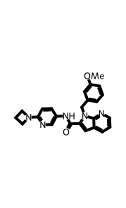 COc1cccc(Cn2c(C(=O)Nc3ccc(N4CCC4)nc3)cc3cccnc32)c1